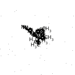 COC(=O)C(C)(C)C(OCc1cn(Cc2cccc(CN=[N+]=[N-])c2)nn1)c1ccc(C)c(CN2C[C@@H](C)Oc3ccccc3S2(=O)=O)c1